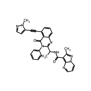 Cc1nn2cccnc2c1C(=O)NC(C)c1nc2cccc(C#Cc3ccnn3C)c2c(=O)n1-c1ccccc1